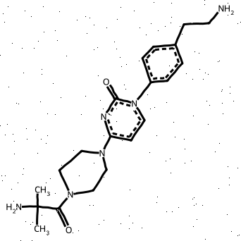 CC(C)(N)C(=O)N1CCN(c2ccn(-c3ccc(CCN)cc3)c(=O)n2)CC1